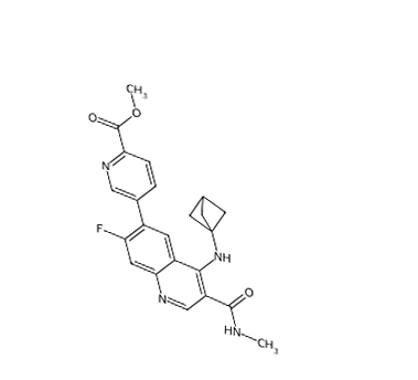 CNC(=O)c1cnc2cc(F)c(-c3ccc(C(=O)OC)nc3)cc2c1NC12CC(C1)C2